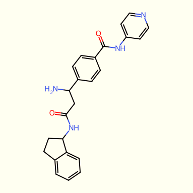 NC(CC(=O)NC1CCc2ccccc21)c1ccc(C(=O)Nc2ccncc2)cc1